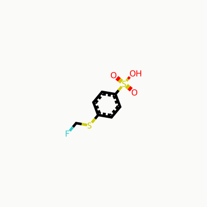 O=S(=O)(O)c1ccc(SCF)cc1